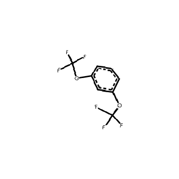 FC(F)(F)Oc1c[c]cc(OC(F)(F)F)c1